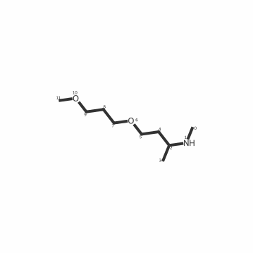 CNC(C)CCOCCCOC